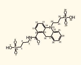 O=C(NCCCS(=O)(=O)O)c1cccc2c1Cc1ccccc1N2CCCS(=O)(=O)O